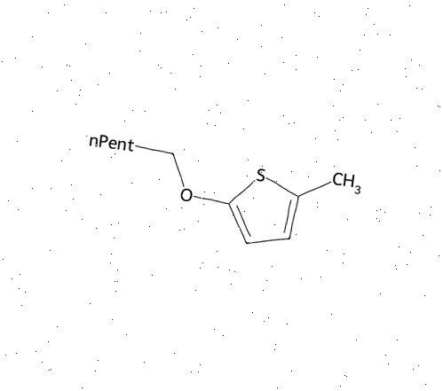 CCCCCCOc1ccc(C)s1